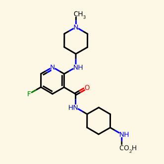 CN1CCC(Nc2ncc(F)cc2C(=O)NC2CCC(NC(=O)O)CC2)CC1